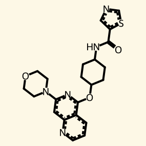 O=C(NC1CCC(Oc2nc(N3CCOCC3)cc3ncccc23)CC1)c1cncs1